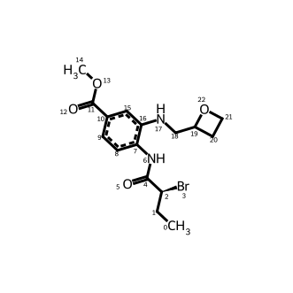 CC[C@H](Br)C(=O)Nc1ccc(C(=O)OC)cc1NCC1CCO1